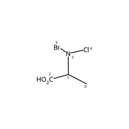 CC(C(=O)O)N(Cl)Br